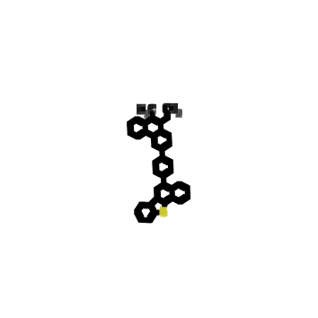 C=Cc1c(C)c2ccccc2c2cc(-c3ccc(-c4cc5c6ccccc6sc5c5ccccc45)cc3)ccc12